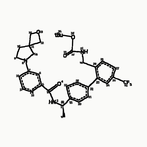 C[C@@H](NC(=O)c1cc(N2CCC3(COC3)C2)ccn1)c1ccc(-c2cc(C(F)(F)F)ccc2CNC(=O)OC(C)(C)C)cc1